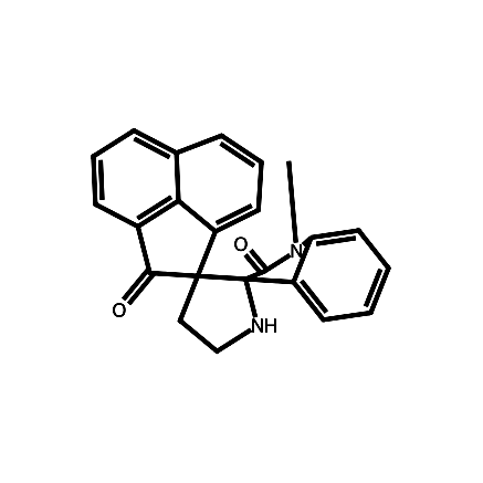 CN1C(=O)C2(NCCC23C(=O)c2cccc4cccc3c24)c2ccccc21